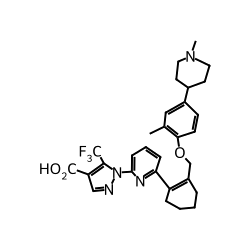 Cc1cc(C2CCN(C)CC2)ccc1OCC1=C(c2cccc(-n3ncc(C(=O)O)c3C(F)(F)F)n2)CCCC1